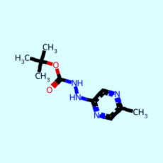 Cc1cnc(NNC(=O)OC(C)(C)C)cn1